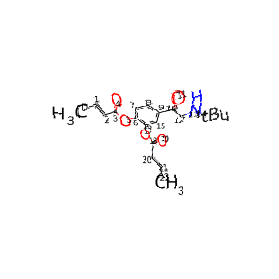 CC=CC(=O)Oc1ccc(C(=O)CNC(C)(C)C)cc1OC(=O)C=CC